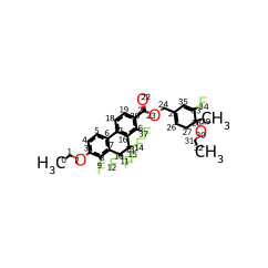 CCOc1ccc2c(c1F)C(F)(F)C(F)(F)c1c-2ccc(C(=O)OCC2=CCC(C)(OCC)C(F)=C2)c1F